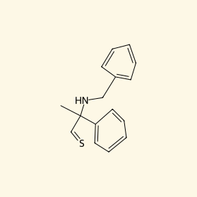 CC(C=S)(NCc1ccccc1)c1ccccc1